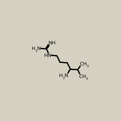 CC(C)C(N)CCCNC(=N)N